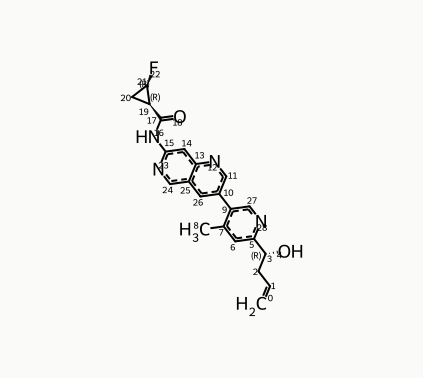 C=CC[C@@H](O)c1cc(C)c(-c2cnc3cc(NC(=O)[C@H]4C[C@H]4F)ncc3c2)cn1